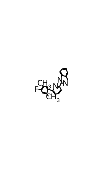 Cc1cc(-c2cccc(-c3ncc4ccccc4n3)n2)c(C)cc1F